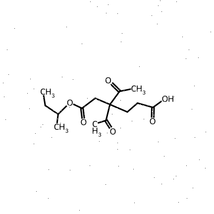 CCC(C)OC(=O)CC(CCC(=O)O)(C(C)=O)C(C)=O